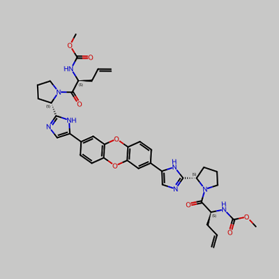 C=CC[C@H](NC(=O)OC)C(=O)N1CCC[C@H]1c1ncc(-c2ccc3c(c2)Oc2ccc(-c4cnc([C@@H]5CCCN5C(=O)[C@H](CC=C)NC(=O)OC)[nH]4)cc2O3)[nH]1